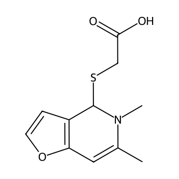 CC1=Cc2occc2C(SCC(=O)O)N1C